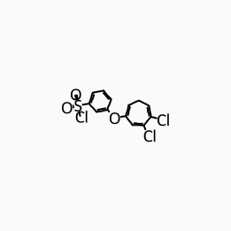 O=S(=O)(Cl)c1cccc(OC2=CCC=C(Cl)C(Cl)=C2)c1